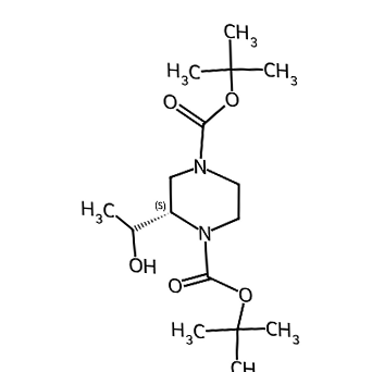 CC(O)[C@@H]1CN(C(=O)OC(C)(C)C)CCN1C(=O)OC(C)(C)C